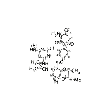 CCNc1nc(Cl)nc(NC(C)(C)C#N)n1.CCc1ccc(COc2ccc(-n3c(=O)cc(C(F)(F)F)n(C)c3=O)cc2)c(OC(C)C(=O)OC)c1